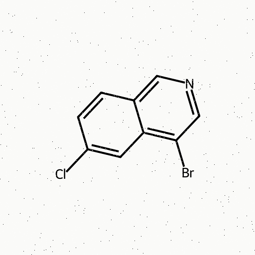 Clc1ccc2cncc(Br)c2c1